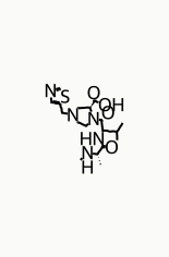 CN[C@@H](C)C(=O)N[C@H](C(=O)N1CCN(Cc2cncs2)C[C@H]1C(=O)O)C(C)C